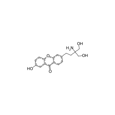 NC(CO)(CO)CCc1ccc2c(=O)c3cc(O)ccc3oc2c1